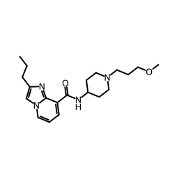 CCCc1cn2cccc(C(=O)NC3CCN(CCCOC)CC3)c2n1